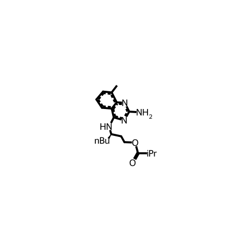 CCCC[C@H](CCOC(=O)C(C)C)Nc1nc(N)nc2c(C)cccc12